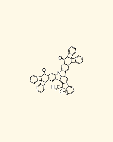 CC1(C)c2ccccc2-c2cc3c4cc5c(cc4n4c6cc7c(cc6c(c21)c34)C1c2ccccc2C12c1ccccc1C2C7=O)C(=O)C1c2ccccc2C12c1ccccc1C52